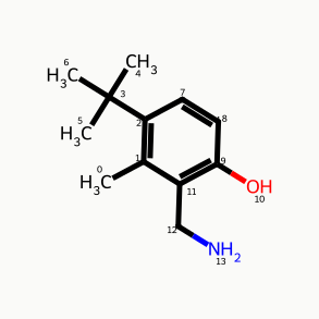 Cc1c(C(C)(C)C)c[c]c(O)c1CN